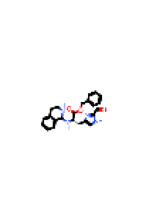 O=Cc1nc(C[C@H](NC2NCCc3ccccc32)C(=O)OCc2ccccc2)c[nH]1